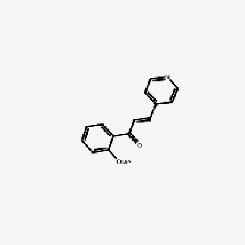 COc1ccccc1C(=O)/C=C/c1ccncc1